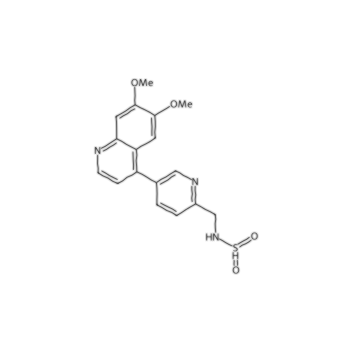 COc1cc2nccc(-c3ccc(CN[SH](=O)=O)nc3)c2cc1OC